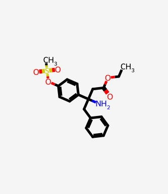 CCOC(=O)CC(N)(Cc1ccccc1)c1ccc(OS(C)(=O)=O)cc1